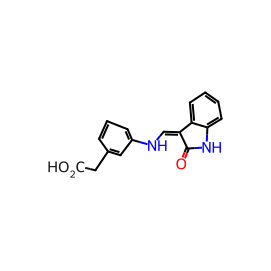 O=C(O)Cc1cccc(NC=C2C(=O)Nc3ccccc32)c1